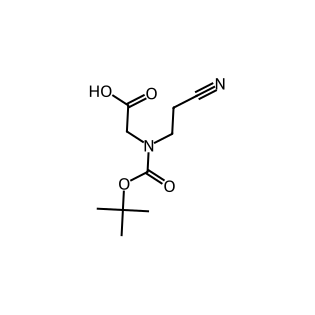 CC(C)(C)OC(=O)N(CCC#N)CC(=O)O